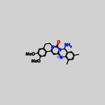 COc1cc2c(cc1OC)-c1c/c(=N/c3c(C)cc(C)cc3C)n(C(C)N)c(=O)n1CC2